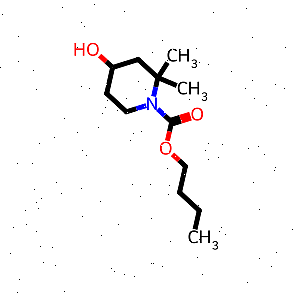 CCCCOC(=O)N1CCC(O)CC1(C)C